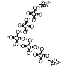 [Fe+3].[Fe+3].[O]=[Cr](=[O])([O-])[O-].[O]=[Cr](=[O])([O-])[O-].[O]=[Cr](=[O])([O-])[O-].[O]=[Cr](=[O])([O-])[O-].[O]=[Cr](=[O])([O-])[O-].[Zn+2].[Zn+2]